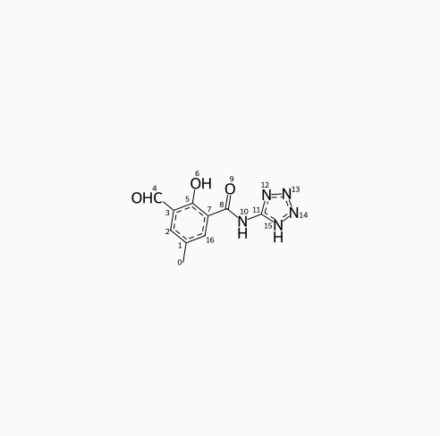 Cc1cc(C=O)c(O)c(C(=O)Nc2nnn[nH]2)c1